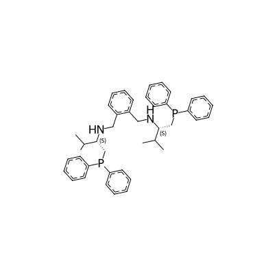 CC(C)[C@@H](CP(c1ccccc1)c1ccccc1)NCc1ccccc1CN[C@H](CP(c1ccccc1)c1ccccc1)C(C)C